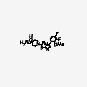 COc1c(-c2cnc3sc(N4CCC(O)(CN)CC4)nn23)ccc(F)c1F